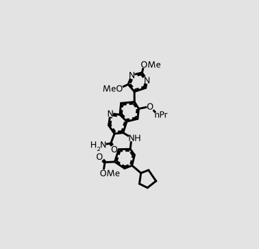 CCCOc1cc2c(Nc3cc(C(=O)OC)cc(C4CCCC4)c3)c(C(N)=O)cnc2cc1-c1cnc(OC)nc1OC